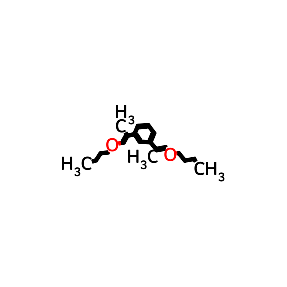 CCCCOC=C(C)c1cccc(C(C)=COCCCC)c1